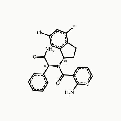 NC(=O)[C@H](c1ccccc1)N(C(=O)c1cccnc1N)[C@@H]1CCc2c(F)cc(Cl)cc21